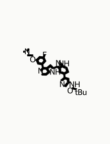 CN(C)CCOc1cc(F)cc(-c2nccc3[nH]c(-c4n[nH]c5ccc(-c6cncc(NC(=O)CC(C)(C)C)c6)cc45)cc23)c1